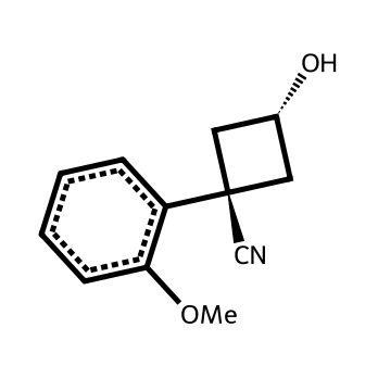 COc1ccccc1[C@]1(C#N)C[C@H](O)C1